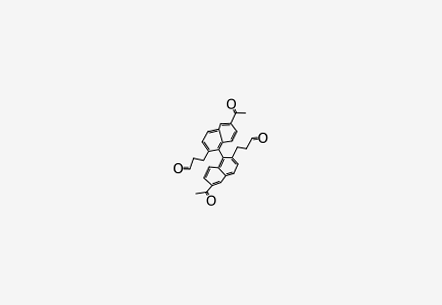 CC(=O)c1ccc2c(-c3c(CCC=O)ccc4cc(C(C)=O)ccc34)c(CCC=O)ccc2c1